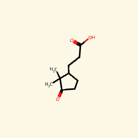 CC1(C)C(=O)CCC1CCC(=O)O